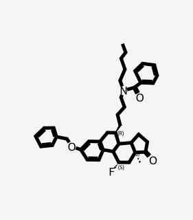 CCCCCN(CCCC[C@@H]1Cc2cc(OCc3ccccc3)ccc2C2C1C1CCC(=O)[C@@]1(C)C[C@@H]2F)C(=O)c1ccccc1